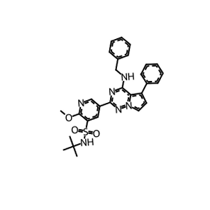 COc1ncc(-c2nc(NCc3ccccc3)c3c(-c4ccccc4)ccn3n2)cc1S(=O)(=O)NC(C)(C)C